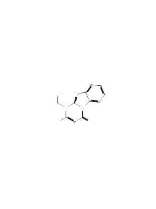 Cc1cc(=O)n2c3ccccc3nc2n1CC#N